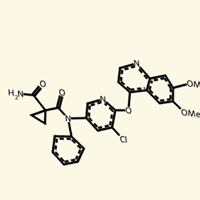 COc1cc2nccc(Oc3ncc(N(C(=O)C4(C(N)=O)CC4)c4ccccc4)cc3Cl)c2cc1OC